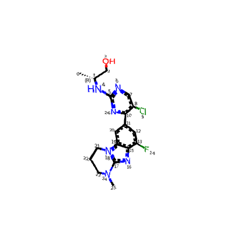 C[C@H](CO)Nc1ncc(Cl)c(-c2cc(F)c3nc4n(c3c2)CCCN4C)n1